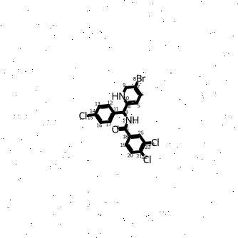 O=C(NC(C1=CC=C(Br)CN1)c1ccc(Cl)cc1)c1ccc(Cl)c(Cl)c1